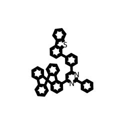 c1ccc(-c2nc(-c3cccc(-c4cccc5c4sc4ccccc45)c3)cc(-c3cccc4c3-c3ccccc3C43c4ccccc4-c4ccccc43)n2)cc1